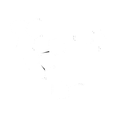 Cc1cccc(F)c1C(=O)N1CCC[C@H](C(=O)Nc2cccc(C(C)(C)C)c2)[C@@H]1C1C=CC(NCc2ncc[nH]2)=CC1